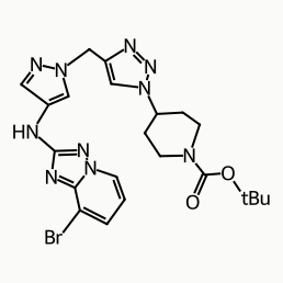 CC(C)(C)OC(=O)N1CCC(n2cc(Cn3cc(Nc4nc5c(Br)cccn5n4)cn3)nn2)CC1